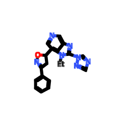 CCn1c(-n2cncn2)nc2cncc(C3CC(c4ccccc4)=NO3)c21